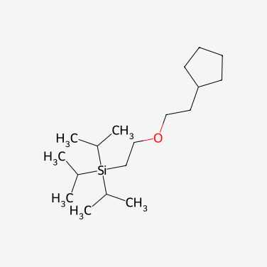 CC(C)[Si](CCOCCC1CCCC1)(C(C)C)C(C)C